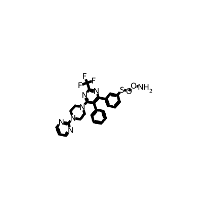 NOOSc1cccc(-c2nc(C(F)(F)F)nc(N3CCN(c4ncccn4)CC3)c2-c2ccccc2)c1